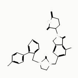 O=C1CCC(N2Cc3cc(CN4CCN(Cc5ccccc5-c5ccc(Cl)cc5)C4=O)cc(F)c3C2=O)C(=O)N1